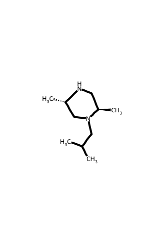 CC(C)CN1C[C@H](C)NC[C@H]1C